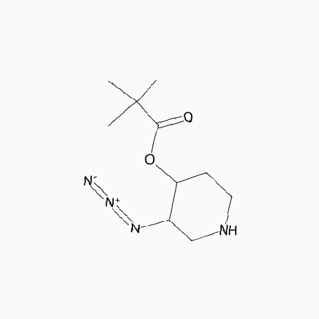 CC(C)(C)C(=O)OC1CCNCC1N=[N+]=[N-]